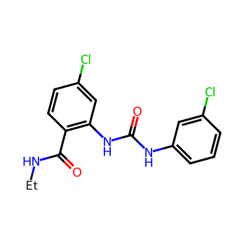 CCNC(=O)c1ccc(Cl)cc1NC(=O)Nc1cccc(Cl)c1